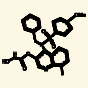 COc1ccc(S(=O)(=O)N(Cc2ccccc2)c2c(OC(=O)NO)cnc3c(C)cccc23)cc1